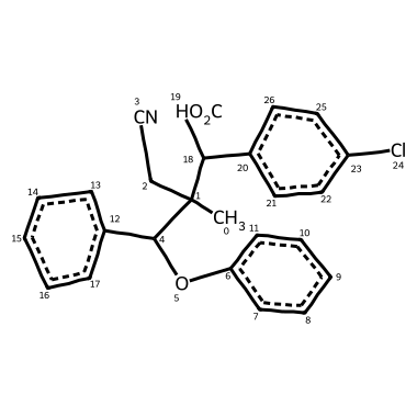 CC(CC#N)(C(Oc1ccccc1)c1ccccc1)C(C(=O)O)c1ccc(Cl)cc1